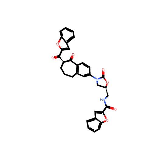 O=C(NC[C@H]1CN(c2ccc3c(c2)CCC[C@@H](C(=O)c2cc4ccccc4o2)C3=O)C(=O)O1)c1cc2ccccc2o1